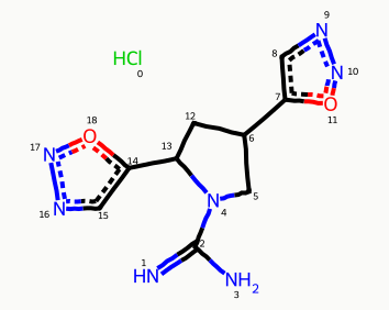 Cl.N=C(N)N1CC(c2cnno2)CC1c1cnno1